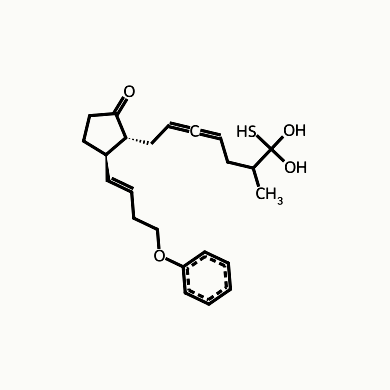 CC(CC=C=CC[C@H]1C(=O)CC[C@@H]1/C=C/CCOc1ccccc1)C(O)(O)S